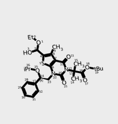 CCOC(O)c1sc2c(c1C)c(=O)n(C(C)(C)C(=O)OC(C)(C)C)c(=O)n2C[C@H](OC(C)C)c1ccccc1